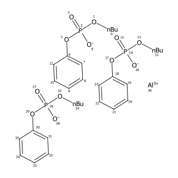 CCCCOP(=O)([O-])Oc1ccccc1.CCCCOP(=O)([O-])Oc1ccccc1.CCCCOP(=O)([O-])Oc1ccccc1.[Al+3]